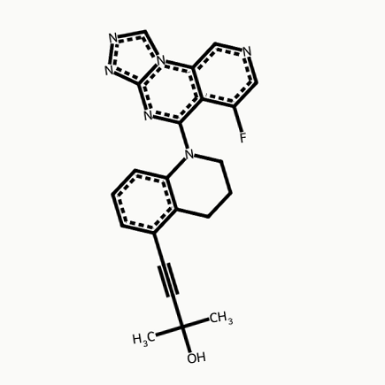 CC(C)(O)C#Cc1cccc2c1CCCN2c1nc2nncn2c2cncc(F)c12